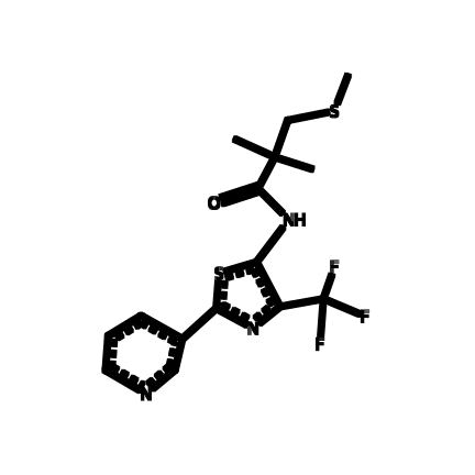 CSCC(C)(C)C(=O)Nc1sc(-c2cccnc2)nc1C(F)(F)F